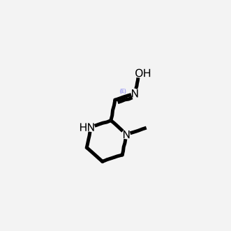 CN1CCCNC1/C=N/O